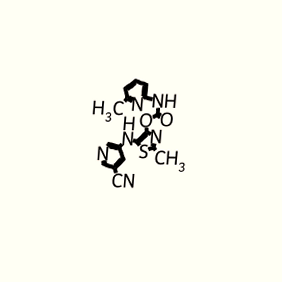 Cc1cccc(NC(=O)Oc2nc(C)sc2Nc2cncc(C#N)c2)n1